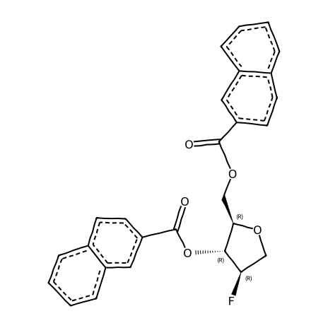 O=C(OC[C@H]1OC[C@@H](F)[C@@H]1OC(=O)c1ccc2ccccc2c1)c1ccc2ccccc2c1